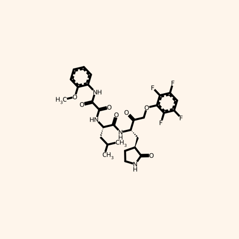 COc1ccccc1NC(=O)C(=O)N[C@@H](CC(C)C)C(=O)N[C@@H](C[C@@H]1CCNC1=O)C(=O)COc1c(F)c(F)cc(F)c1F